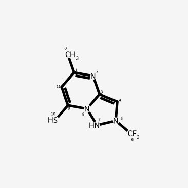 CC1=NC2=CN(C(F)(F)F)NN2C(S)=C1